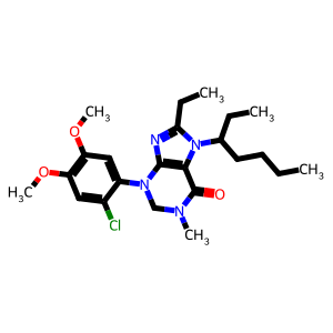 CCCCC(CC)n1c(CC)nc2c1C(=O)N(C)CN2c1cc(OC)c(OC)cc1Cl